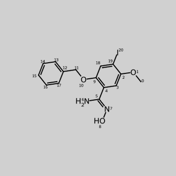 COc1cc(C(N)=NO)c(OCc2ccccc2)cc1I